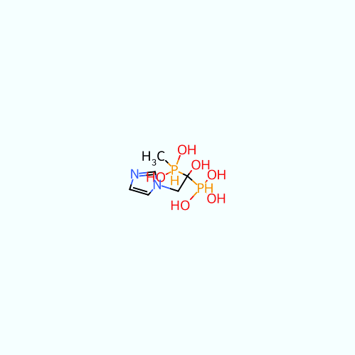 C[PH](O)(O)C(O)(Cn1ccnc1)[PH](O)(O)O